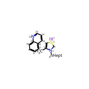 CCCCCCCN1CSC=C1C.I.c1ccc2ncccc2c1